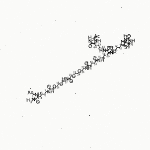 CC(=O)CN[C@@H](CCCCNC(=O)COCCOCCNC(=O)COCCOCCNC(=O)CCCC(=O)NCCCC[C@H](NC(=O)CCCC[C@@H]1SC[C@@H]2NC(=O)N[C@@H]21)C(=O)NCCCC[C@H](NCC(C)=O)C(N)=O)C(N)=O